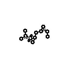 c1ccc(-c2cccc(-n3c4ccccc4c4cc(-c5cccc(-c6ccc7c(c6)C6(c8ccccc8-7)c7ccccc7N(c7cc(-c8ccccc8)cc(-c8ccccc8)n7)c7ccccc76)c5)ccc43)c2)cc1